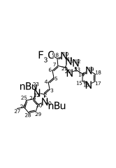 CCCCN1/C(=C/C=C/C=c2/c(C(F)(F)F)nn3nc(-c4cnccn4)nc23)N(CCCC)c2cc(C)ccc21